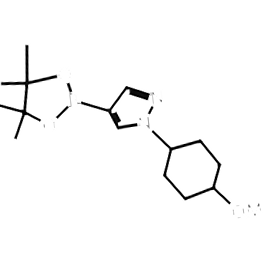 COC1CCC(n2cc(B3OC(C)(C)C(C)(C)O3)cn2)CC1